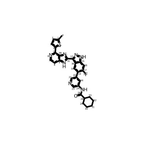 Cc1ccc(-c2nccc3[nH]c(-c4n[nH]c5cc(F)c(-c6cncc(NC(=O)C7CCCCC7)c6)cc45)nc23)s1